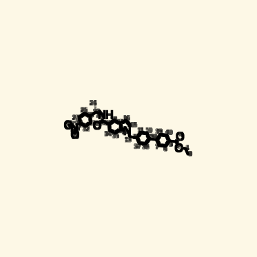 CCOC(=O)c1ccc(-c2ccc(Cn3ccc4cc(C(=O)N[C@@H](C)c5ccc([N+](=O)[O-])cc5)ccc43)cc2)cc1